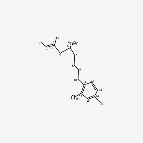 C/C=C(\C)CC(CCC)CCCCc1ccc(C)cc1Cl